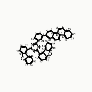 c1cc(-c2ccc3c(ccc4c5ccccc5ccc34)c2)cc(-c2nc(-c3cccc4oc5ccccc5c34)nc(-c3cccc4oc5ccccc5c34)n2)c1